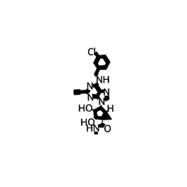 C#Cc1nc(NCc2cccc(Cl)c2)c2ncn([C@@H]3[C@H]4C[C@@]4(C(=O)NC)C(O)[C@@H]3O)c2n1